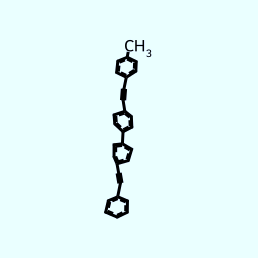 Cc1ccc(C#Cc2ccc(-c3ccc(C#Cc4ccccc4)cc3)cc2)cc1